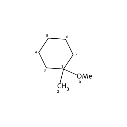 COC1(C)CCCCC1